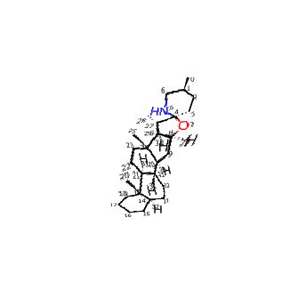 C[C@H]1CC[C@]2(NC1)O[C@H]1C[C@H]3[C@@H]4CC[C@H]5CCCC[C@]5(C)[C@H]4CC[C@]3(C)[C@H]1[C@@H]2C